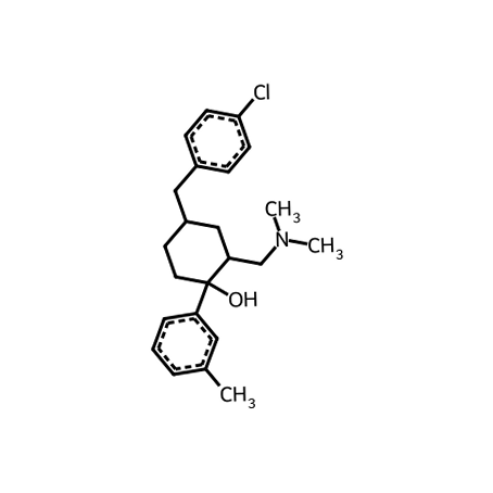 Cc1cccc(C2(O)CCC(Cc3ccc(Cl)cc3)CC2CN(C)C)c1